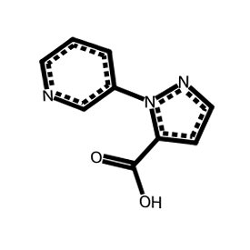 O=C(O)c1ccnn1-c1cccnc1